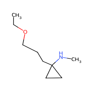 CCOCCCC1(NC)CC1